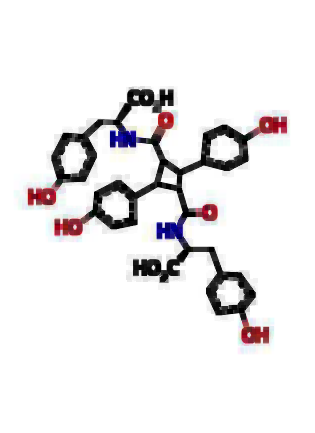 O=C(N[C@@H](Cc1ccc(O)cc1)C(=O)O)C1C(c2ccc(O)cc2)C(C(=O)N[C@@H](Cc2ccc(O)cc2)C(=O)O)C1c1ccc(O)cc1